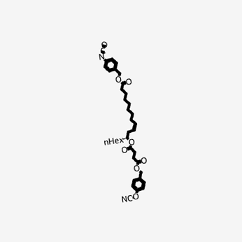 CCCCCC[C@H](C/C=C\CCCCCCCC(=O)OCc1ccc(N=C=O)cc1)OC(=O)CCC(=O)OCc1ccc(OC#N)cc1